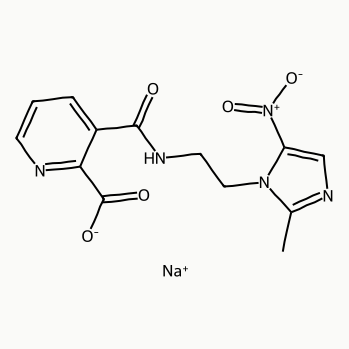 Cc1ncc([N+](=O)[O-])n1CCNC(=O)c1cccnc1C(=O)[O-].[Na+]